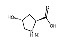 O=C(O)[C@@H]1C[C@@H](O)CN1.[N]